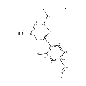 CCCCN(CC(N)=O)c1ccc(C=O)cc1C